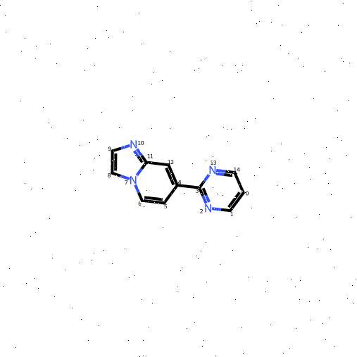 c1cnc(-c2ccn3ccnc3c2)nc1